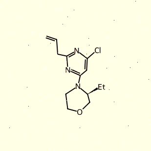 C=CCc1nc(Cl)cc(N2CCOC[C@@H]2CC)n1